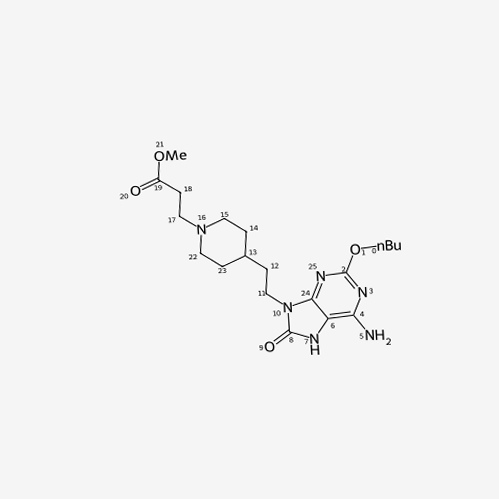 CCCCOc1nc(N)c2[nH]c(=O)n(CCC3CCN(CCC(=O)OC)CC3)c2n1